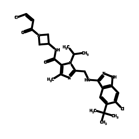 Cc1nc(CNc2n[nH]c3cc(Cl)c(C(C)(C)C)cc23)n(C(C)C)c1C(=O)NC1CN(C(=O)/C=C\Cl)C1